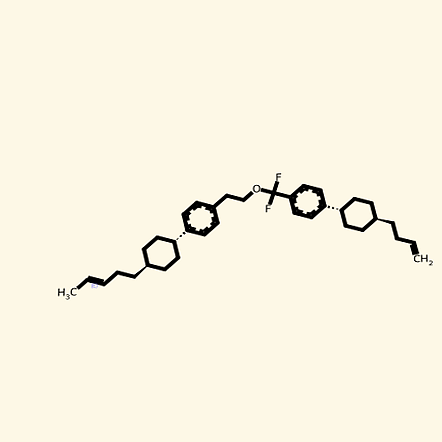 C=CCC[C@H]1CC[C@H](c2ccc(C(F)(F)OCCc3ccc([C@H]4CC[C@H](CC/C=C/C)CC4)cc3)cc2)CC1